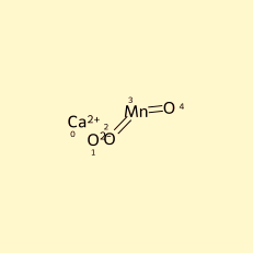 [Ca+2].[O-2].[O]=[Mn]=[O]